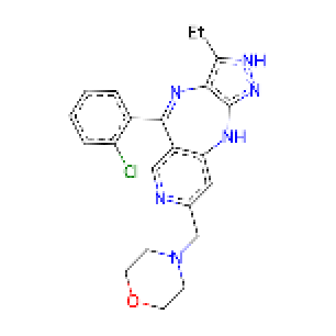 CCc1[nH]nc2c1N=C(c1ccccc1Cl)c1cnc(CN3CCOCC3)cc1N2